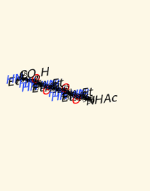 CCNC(CCCCNC(=O)C(CCCCNC(=O)C(CCCCNC(=O)C(CCCCNC(=O)C(CCCCNC(C)=O)NCC)NCC)NCC)NCC)C(=O)O